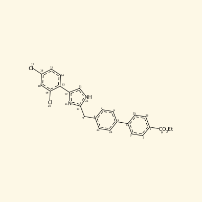 CCOC(=O)c1ccc(-c2ccc(Cc3nc(-c4ccc(Cl)cc4Cl)c[nH]3)cc2)cc1